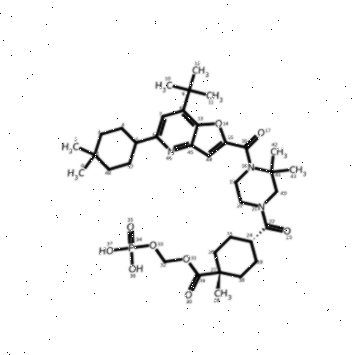 CC1(C)CCC(c2cc(C(C)(C)C)c3oc(C(=O)N4CCN(C(=O)[C@H]5CC[C@@](C)(C(=O)OCOP(=O)(O)O)CC5)CC4(C)C)cc3n2)CC1